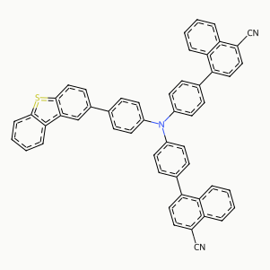 N#Cc1ccc(-c2ccc(N(c3ccc(-c4ccc5sc6ccccc6c5c4)cc3)c3ccc(-c4ccc(C#N)c5ccccc45)cc3)cc2)c2ccccc12